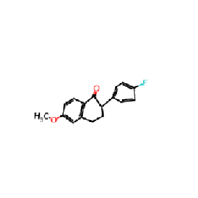 COc1ccc2c(c1)CCC(c1ccc(F)cc1)C2=O